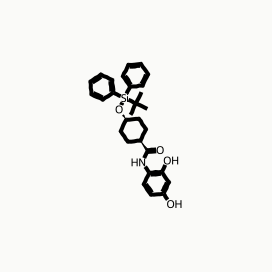 CC(C)(C)[Si](O[C@H]1CC[C@H](C(=O)Nc2ccc(O)cc2O)CC1)(c1ccccc1)c1ccccc1